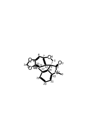 CN1C(=O)[C@@]2(COc3cc4c(cc32)OCO4)c2c(Br)cccc21